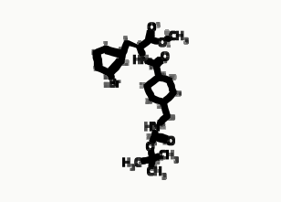 COC(=O)[C@H](Cc1cccc(Br)c1)NC(=O)C1CCC(CNC(=O)OC(C)(C)C)CC1